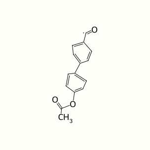 CC(=O)Oc1ccc(-c2ccc([C]=O)cc2)cc1